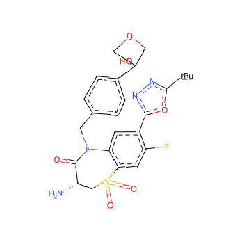 CC(C)(C)c1nnc(-c2cc3c(cc2F)S(=O)(=O)C[C@H](N)C(=O)N3Cc2ccc(C3(O)COC3)cc2)o1